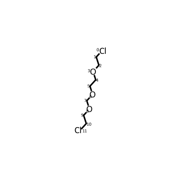 ClCCOCCOCOCCCl